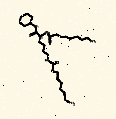 NCCCCCCCC(=O)NCCCC[C@H](NC(=O)CCCCCCCN)C(=O)NC1CCCCC1